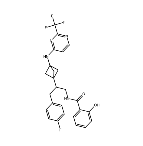 O=C(NCC(Cc1ccc(F)cc1)C12CC(Nc3ccnc(C(F)(F)F)n3)(C1)C2)c1ccccc1O